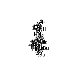 CN(C)C(=O)C[C@H](NC(=O)CNC(=O)C(=O)C(CC1CCC1)NC(=O)[C@@H]1[C@@H]2[C@H](CN1C(=O)[C@@H](NC(=O)OC(C)(C)C)C(C)(C)C)C2(C)C)c1ccccc1